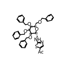 CC(=O)c1cnc(NC[C@H]2O[C@H](COCc3ccccc3)[C@@H](OCc3ccccc3)[C@H](OCc3ccccc3)[C@@H]2OCc2ccccc2)s1